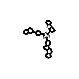 c1ccc2cc(-c3ccc(-c4nc(-c5ccc6c(ccc7c8ccccc8ccc67)c5)nc(-c5cccc6c5sc5ccccc56)n4)cc3)ccc2c1